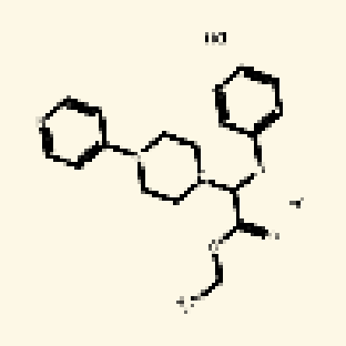 CCOC(=O)C(Oc1ccccc1)N1CCN(c2ccncc2)CC1.Cl.Cl